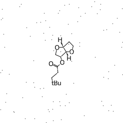 CC(C)(C)CCC(=O)OC1CO[C@@H]2CCO[C@H]12